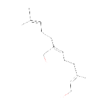 CC(C)=CCCC(=CCCC(C)=CCO)CO